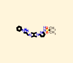 CC(C)S(=O)(=O)Nc1cccc(N2CC3CN(Cc4cn(-c5ccccc5)nn4)CC3C2)n1